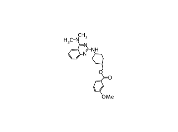 COc1cccc(C(=O)OCC2CCC(Nc3nc(N(C)C)c4ccccc4n3)CC2)c1